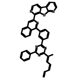 C=C/C=C\C=C(/C)c1nc(-c2ccccc2)nc(-c2cccc(-c3nc(-c4nccc5c4oc4ncccc45)cc4ccccc34)c2)n1